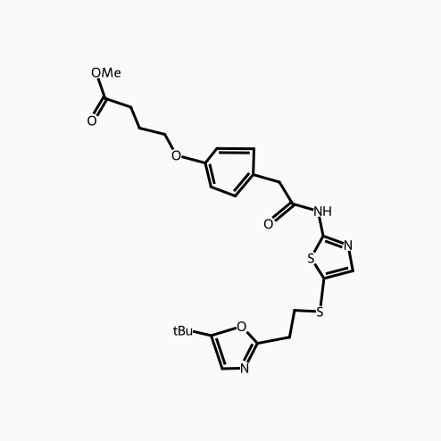 COC(=O)CCCOc1ccc(CC(=O)Nc2ncc(SCCc3ncc(C(C)(C)C)o3)s2)cc1